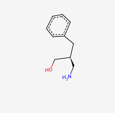 NC[C@@H](CO)Cc1ccccc1